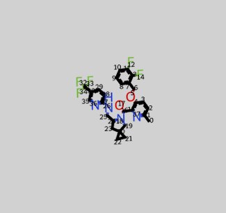 Cc1ccc(OCc2cccc(F)c2F)c(C(=O)N2CC3(CC3)CC2CNc2ccc(C(F)(F)F)cn2)n1